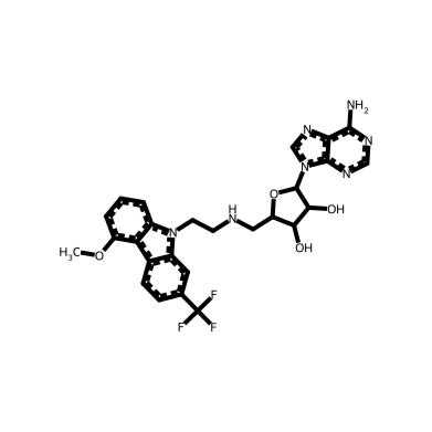 COc1cccc2c1c1ccc(C(F)(F)F)cc1n2CCNCC1OC(n2cnc3c(N)ncnc32)C(O)C1O